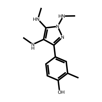 CNc1c(-c2ccc(O)c(C)c2)nn(NC)c1NC